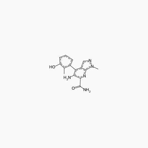 Cc1c(O)cccc1-c1c(N)c(C(N)=O)nc2c1cnn2C